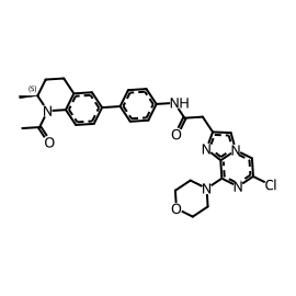 CC(=O)N1c2ccc(-c3ccc(NC(=O)Cc4cn5cc(Cl)nc(N6CCOCC6)c5n4)cc3)cc2CC[C@@H]1C